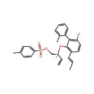 C=C[C@@H](COS(=O)(=O)c1ccc(C)cc1)Oc1c(C=CC)ccc(Cl)c1-c1ccccc1C